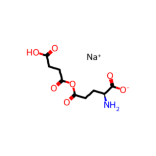 N[C@@H](CCC(=O)OC(=O)CCC(=O)O)C(=O)[O-].[Na+]